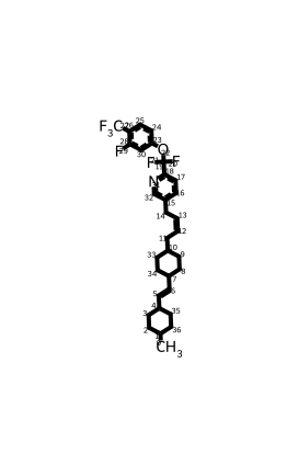 CC1CCC(/C=C/C2CCC(C/C=C\Cc3ccc(C(F)(F)Oc4ccc(C(F)(F)F)c(F)c4)nc3)CC2)CC1